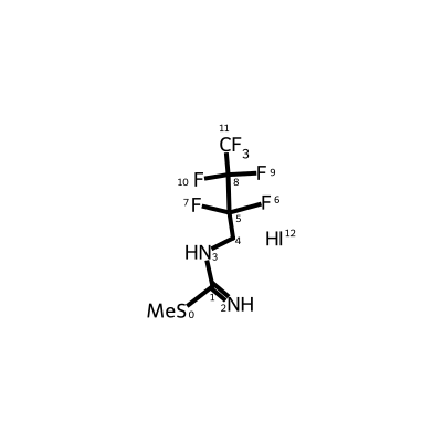 CSC(=N)NCC(F)(F)C(F)(F)C(F)(F)F.I